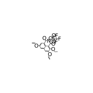 C=COc1cc2c3c(c(OCC)c(OC=C)cc3c1)C(=O)N(OS(=O)(=O)C(F)(F)F)C2=O